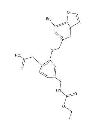 CCOC(=O)NCc1ccc(CC(=O)O)c(OCc2cc(Br)c3occc3c2)c1